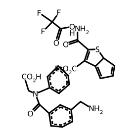 CCOC(=O)C1=C(C(N)=O)SC2C=CC=C12.NCc1cccc(C(=O)N(CC(=O)O)c2ccccc2)c1.O=C(O)C(F)(F)F